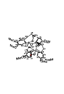 COc1ccc(OC2(OC(=O)/C=C\C(=O)OC3(Oc4ccc(OC)cc4)CNCCc4cc(OC)c(OC)cc43)CNCCc3cc(OC)c(OC)cc32)cc1